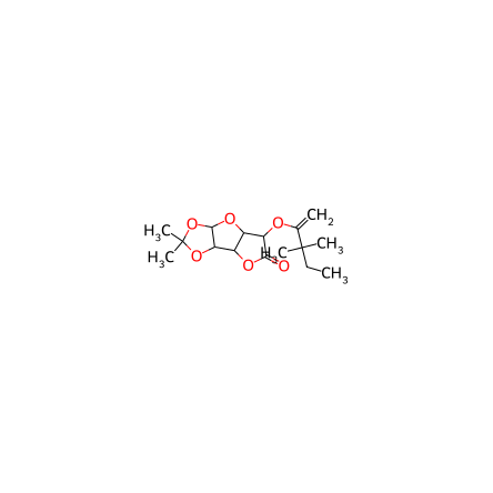 C=C(OC1C(=O)OC2C3OC(C)(C)OC3OC12)C(C)(C)CC